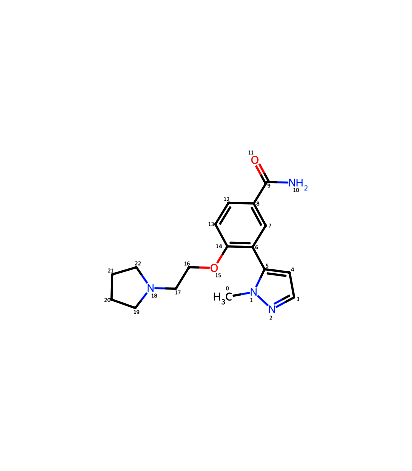 Cn1nccc1-c1cc(C(N)=O)ccc1OCCN1CCCC1